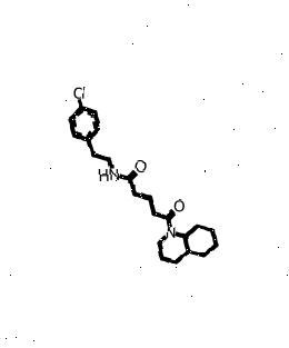 O=C(CCCC(=O)N1CCCC2CCCCC21)NCCc1ccc(Cl)cc1